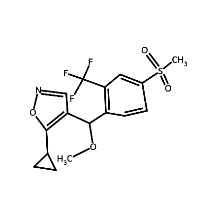 COC(c1ccc(S(C)(=O)=O)cc1C(F)(F)F)c1cnoc1C1CC1